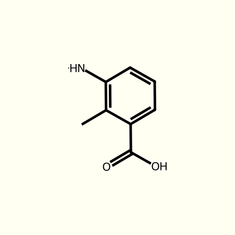 Cc1c([NH])cccc1C(=O)O